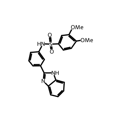 COc1ccc(S(=O)(=O)Nc2cccc(-c3nc4ccccc4[nH]3)c2)cc1OC